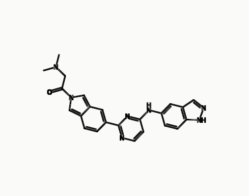 CN(C)CC(=O)n1cc2ccc(-c3nccc(Nc4ccc5[nH]ncc5c4)n3)cc2c1